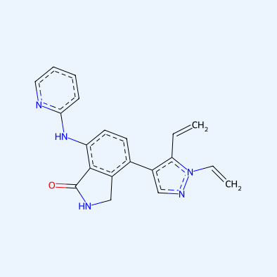 C=Cc1c(-c2ccc(Nc3ccccn3)c3c2CNC3=O)cnn1C=C